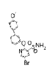 COc1ccc(-c2cccc(Oc3ncc(Br)cc3S(N)(=O)=O)c2)cc1